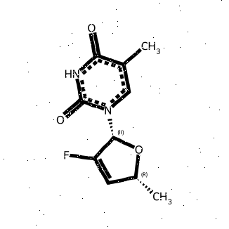 Cc1cn([C@@H]2O[C@H](C)C=C2F)c(=O)[nH]c1=O